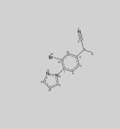 CC(C#N)c1ccc(-n2cccn2)c(Br)c1